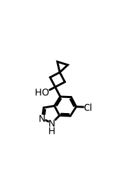 OC1(c2cc(Cl)cc3[nH]ncc23)CC2(CC2)C1